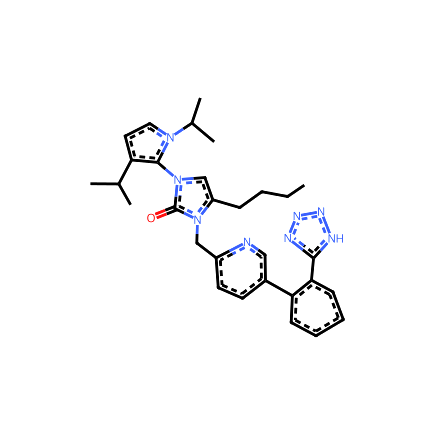 CCCCc1cn(-c2c(C(C)C)ccn2C(C)C)c(=O)n1Cc1ccc(-c2ccccc2-c2nnn[nH]2)cn1